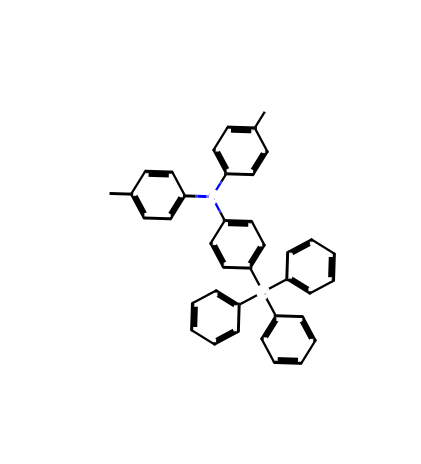 Cc1ccc(N(c2ccc(C)cc2)c2ccc([Si](c3ccccc3)(c3ccccc3)c3ccccc3)cc2)cc1